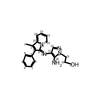 CC1=C(c2ccccc2)/C(=N/c2cnn(CCO)c2N)[n+]2ccccc21